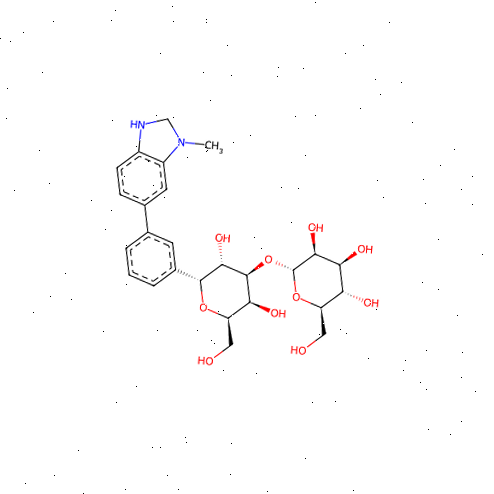 CN1CNc2ccc(-c3cccc([C@H]4O[C@H](CO)[C@H](O)[C@H](O[C@H]5O[C@H](CO)[C@@H](O)[C@H](O)[C@@H]5O)[C@H]4O)c3)cc21